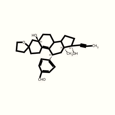 CC#C[C@]1(O)CCC2C3CC[C@@]4(O)CC5(CCCO5)CCC4=C3[C@@H](c3ccc(C=O)cc3)C[C@@]21C